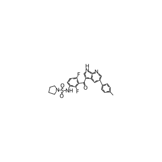 Cc1ccc(-c2cnc3[nH]cc(C(=O)c4c(F)ccc(NS(=O)(=O)N5CCCC5)c4F)c3c2)cc1